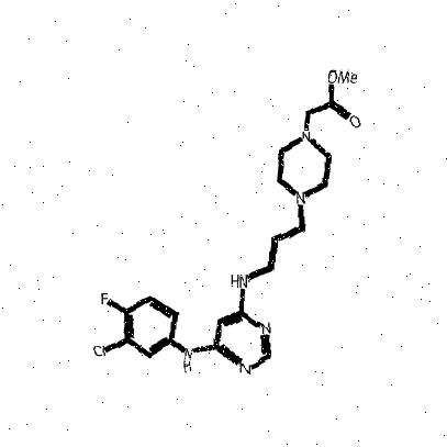 COC(=O)CN1CCN(CCCNc2cc(Nc3ccc(F)c(Cl)c3)ncn2)CC1